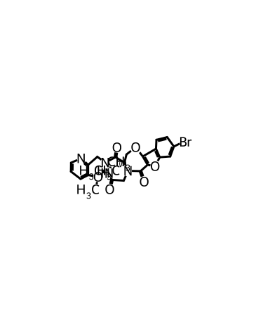 COc1cccnc1CNC(=O)[C@@]1(C)COc2c(oc3cc(Br)ccc23)C(=O)N1CC(=O)N(C)C